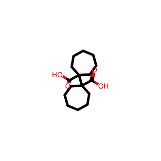 O=C(O)C1(C2(C(=O)O)CCCCCC2)CCCCCC1